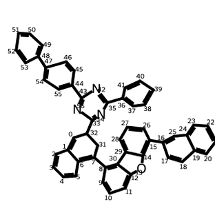 C1=c2ccccc2=C(c2cccc3oc4c(-c5ccc6ccccc6c5)cccc4c23)CC1c1nc(-c2ccccc2)nc(-c2ccc(-c3ccccc3)cc2)n1